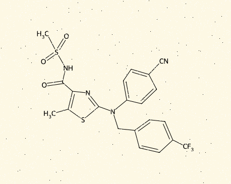 Cc1sc(N(Cc2ccc(C(F)(F)F)cc2)c2ccc(C#N)cc2)nc1C(=O)NS(C)(=O)=O